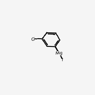 Clc1ccc[c]([Mg][I])c1